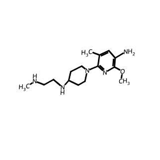 CNCCNC1CCN(c2nc(OC)c(N)cc2C)CC1